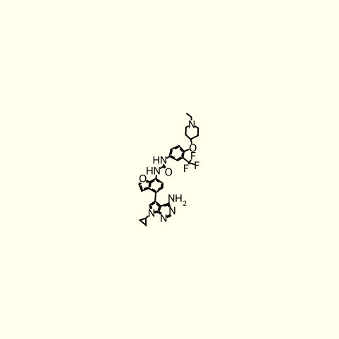 CCN1CCC(Oc2ccc(NC(=O)Nc3ccc(-c4cn(C5CC5)c5ncnc(N)c45)c4ccoc34)cc2C(F)(F)F)CC1